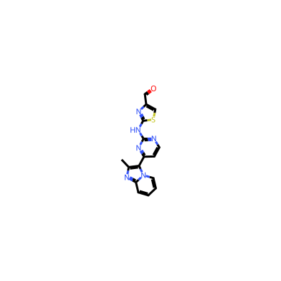 Cc1nc2ccccn2c1-c1ccnc(Nc2nc(C=O)cs2)n1